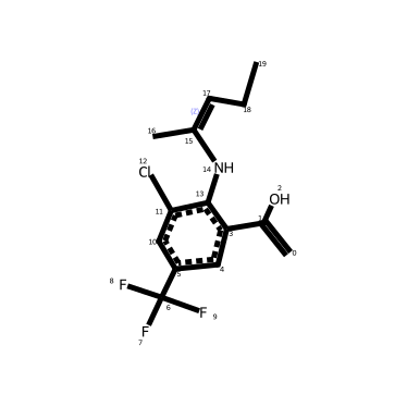 C=C(O)c1cc(C(F)(F)F)cc(Cl)c1N/C(C)=C\CC